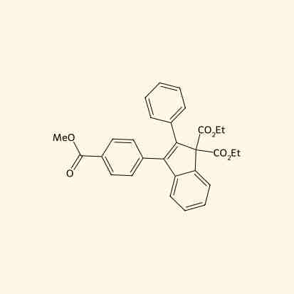 CCOC(=O)C1(C(=O)OCC)C(c2ccccc2)=C(c2ccc(C(=O)OC)cc2)c2ccccc21